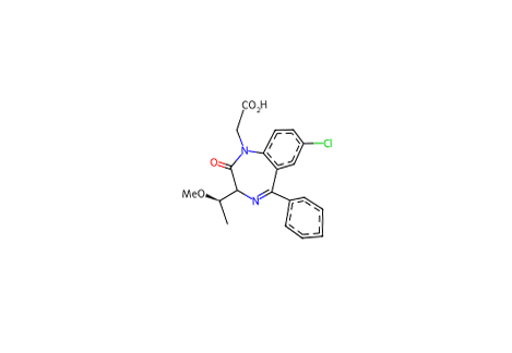 CO[C@H](C)C1N=C(c2ccccc2)c2cc(Cl)ccc2N(CC(=O)O)C1=O